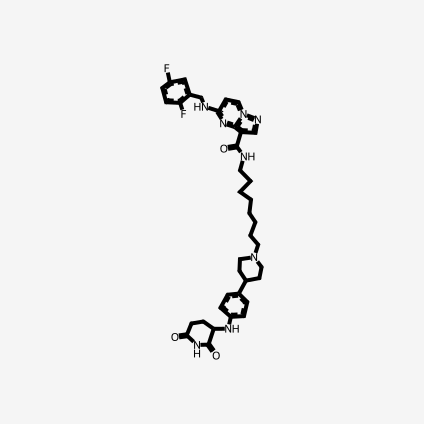 O=C1CCC(Nc2ccc(C3CCN(CCCCCCCCNC(=O)c4cnn5ccc(NCc6cc(F)ccc6F)nc45)CC3)cc2)C(=O)N1